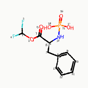 O=C(OC(F)F)[C@H](Cc1ccccc1)NP(=O)(O)O